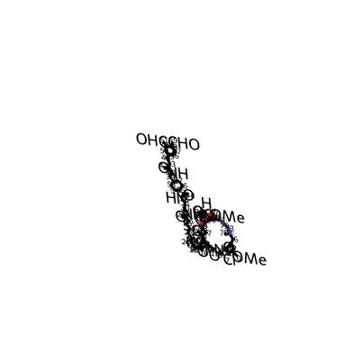 COc1cc2cc(c1Cl)N(C)C(=O)C[C@H](OC(=O)[C@H](C)N(C)C(=O)CCSCC(=O)NCCNC(=O)[C@H]1CC[C@H](CNC(=O)CCc3ccc(C=O)c(C=O)c3)CC1)C1(C)CC(C)(O1)C1CC(O)(NC(=O)O1)C(OC)/C=C/C=C(\C)C2